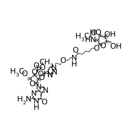 COC[C@H]1O[C@@H](n2cnc3c(=O)[nH]c(N)nc32)[C@H](OCc2cn(CCOCCNC(=O)CCCCO[C@@H]3O[C@H](CO)[C@H](O)[C@H](O)[C@H]3NC(C)=O)nn2)[C@@H]1OP(=O)(O)OC